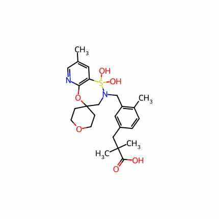 Cc1cnc2c(c1)S(O)(O)N(Cc1cc(CC(C)(C)C(=O)O)ccc1C)CC1(CCOCC1)O2